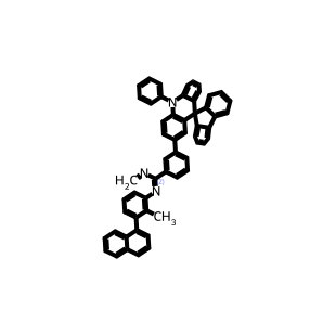 C=N/C(=N\c1cccc(-c2cccc3ccccc23)c1C)c1cccc(-c2ccc3c(c2)C2(c4ccccc4-c4ccccc42)c2ccccc2N3c2ccccc2)c1